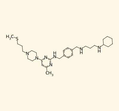 CSCCCN1CCN(c2cc(C)nc(NCc3ccc(CNCCCNC4CCCCC4)cc3)n2)CC1